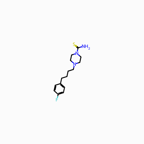 NC(=S)N1CCN(CCCCc2ccc(F)cc2)CC1